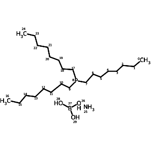 CCCCCCCCP(CCCCCCCC)CCCCCCCC.N.OB(O)O